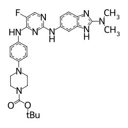 CN(C)c1nc2ccc(Nc3ncc(F)c(Nc4ccc(N5CCN(C(=O)OC(C)(C)C)CC5)cc4)n3)cc2[nH]1